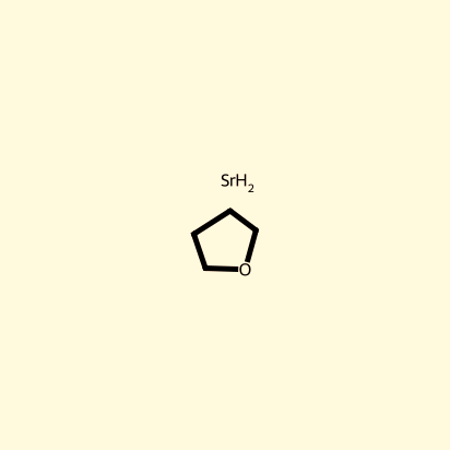 C1CCOC1.[SrH2]